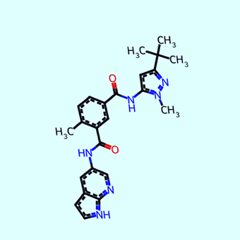 Cc1ccc(C(=O)Nc2cc(C(C)(C)C)nn2C)cc1C(=O)Nc1cnc2[nH]ccc2c1